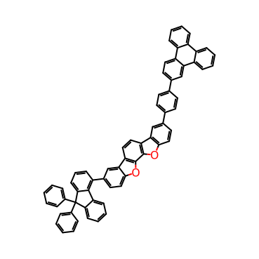 c1ccc(C2(c3ccccc3)c3ccccc3-c3c(-c4ccc5oc6c(ccc7c8cc(-c9ccc(-c%10ccc%11c%12ccccc%12c%12ccccc%12c%11c%10)cc9)ccc8oc76)c5c4)cccc32)cc1